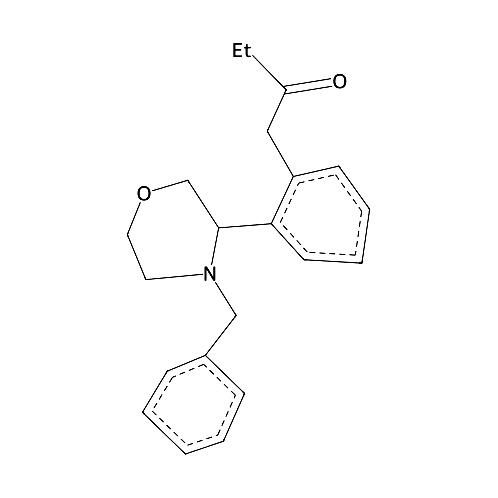 CCC(=O)Cc1ccccc1C1COCCN1Cc1ccccc1